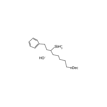 CCCCCCCCCCCCCCC[CH]([SbH3+])CCc1ccccc1.[OH-]